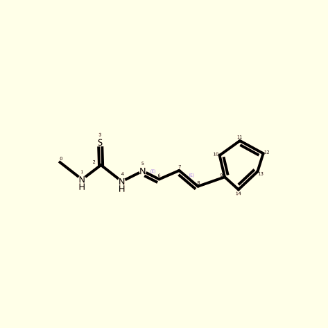 CNC(=S)N/N=C/C=C/c1ccccc1